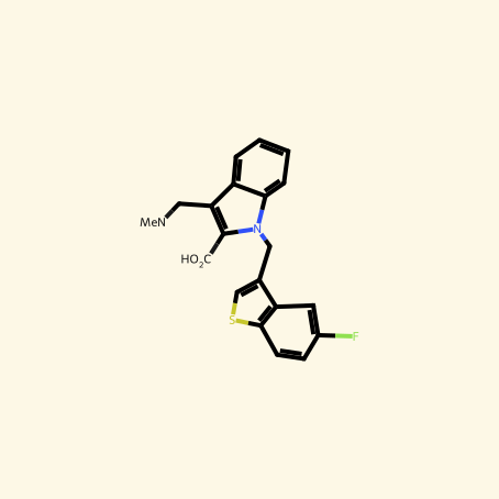 CNCc1c(C(=O)O)n(Cc2csc3ccc(F)cc23)c2ccccc12